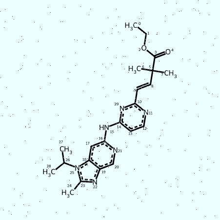 CCOC(=O)C(C)(C)C=Cc1nccc(Nc2cc3c(cn2)nc(C)n3C(C)C)n1